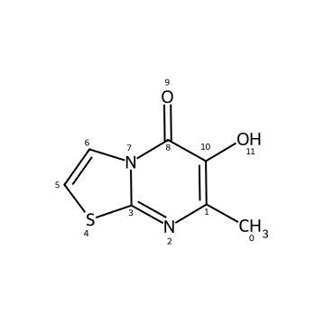 Cc1nc2sccn2c(=O)c1O